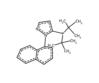 CC(C)(C)P(c1ccnn1-c1cccc2ccccc12)C(C)(C)C